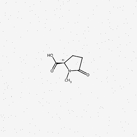 CN1C(=O)CC[C@@H]1C(=O)O